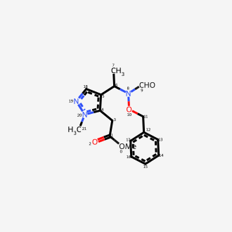 COC(=O)Cc1c(C(C)N(C=O)OCc2ccccc2)cnn1C